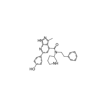 Cc1n[nH]c2nc(-c3ccc(O)cc3)cc(C(=O)N(CCc3ccccc3)C3CCCNC3)c12